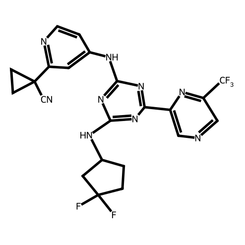 N#CC1(c2cc(Nc3nc(NC4CCC(F)(F)C4)nc(-c4cncc(C(F)(F)F)n4)n3)ccn2)CC1